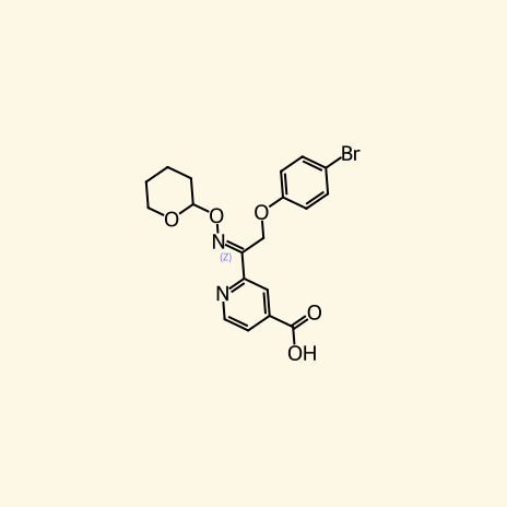 O=C(O)c1ccnc(/C(COc2ccc(Br)cc2)=N/OC2CCCCO2)c1